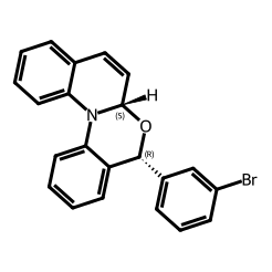 Brc1cccc([C@H]2O[C@H]3C=Cc4ccccc4N3c3ccccc32)c1